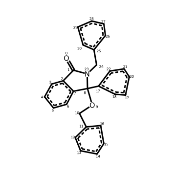 O=C1c2ccccc2C(OCc2ccccc2)(c2ccccc2)N1Cc1ccccc1